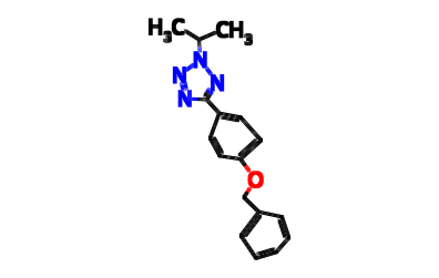 CC(C)n1nnc(-c2ccc(OCc3ccccc3)cc2)n1